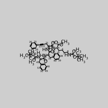 COC(=O)C(CCCCNC(=O)OC(C)(C)C)NC(=O)C(CC#Cc1ccccc1)NC(=O)C(Cc1ccccc1)NC(=O)C(Cc1ccccc1)NC(=O)OC(C)(C)C